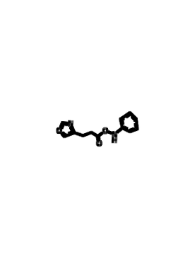 O=C(CCc1cocn1)ONc1ccccc1